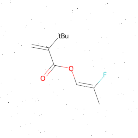 C=C(C(=O)OC=C(C)F)C(C)(C)C